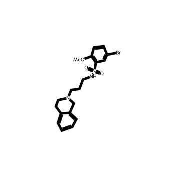 COc1ccc(Br)cc1S(=O)(=O)NCCCN1CCc2ccccc2C1